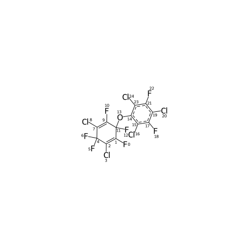 FC1=C(Cl)C(F)(F)C(Cl)=C(F)C1(F)Oc1c(Cl)c(F)c(Cl)c(F)c1Cl